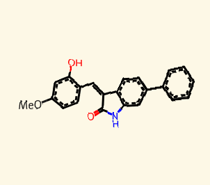 COc1ccc(C=C2C(=O)Nc3cc(-c4ccccc4)ccc32)c(O)c1